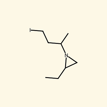 CCC1CN1C(C)CCI